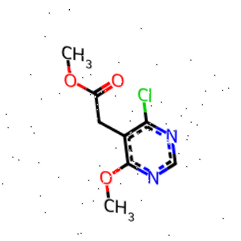 COC(=O)Cc1c(Cl)ncnc1OC